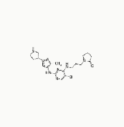 Cc1nn(C2CCNC2)cc1Nc1ncc(Cl)c(NCCCN2CCCC2=O)n1